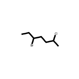 [CH2]CC(Br)CCC(C)Cl